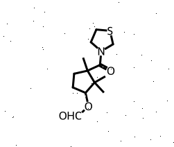 CC1(C(=O)N2CCSC2)CCC(OC=O)C1(C)C